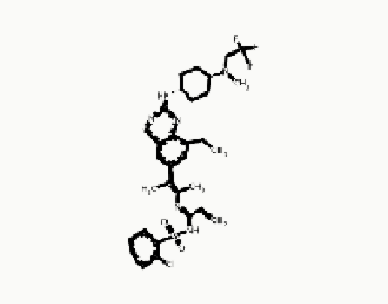 C=C/C(=N\C(C)=C(/C)c1cc(CC)c2nc(N[C@H]3CC[C@H](N(C)CC(F)(F)F)CC3)ncc2c1)NS(=O)(=O)c1ccccc1Cl